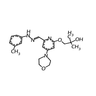 Cc1cccc(N/N=C/c2cc(N3CCOCC3)cc(OCC(C)(C)O)n2)c1